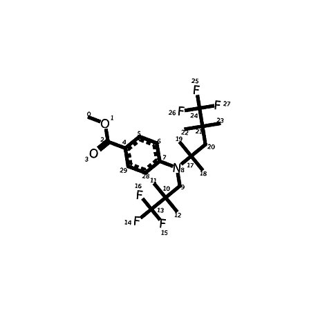 COC(=O)c1ccc(N(CC(C)(C)C(F)(F)F)C(C)(C)CC(C)(C)C(F)(F)F)cc1